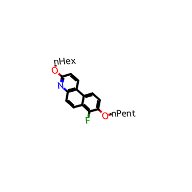 CCCCCCOc1ccc2c(ccc3c(F)c(OCCCCC)ccc32)n1